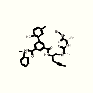 CC#CCC(CN[C@@H](C)C(=O)N[C@H](C(=O)NCC)C(C)C)NC(=O)c1cc(C(=O)N[C@H](C)c2ccccc2)cc(-c2cc(C)ccc2C#N)c1